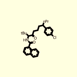 CCCC(CCCC(=O)C(NC(=O)c1cccc2ccccc12)C(C)(C)C)c1ccc(Cl)cc1